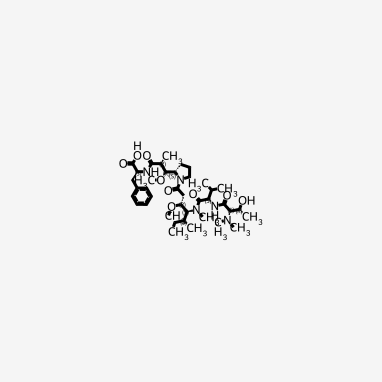 CC[C@H](C)[C@@H]([C@@H](CC(=O)N1CCC[C@H]1[C@H](OC)[C@@H](C)C(=O)N[C@@H](Cc1ccccc1)C(=O)O)OC)N(C)C(=O)[C@@H](NC(=O)[C@H]([C@@H](C)O)N(C)C)C(C)C